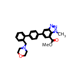 COC(=O)c1cc(-c2ccc(-c3ccccc3CN3CCOCC3)cc2)cc2nnn(C)c12